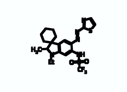 CCN1c2cc(NS(=O)(=O)C(F)(F)F)c(N=Nc3nccs3)cc2C2(CCCCC2)C1C